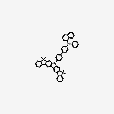 CC1(C)c2ccccc2-c2cc3c4cc5c(cc4n(-c4ccc(-c6ccc(N(c7ccccc7)c7cccc8ccccc78)cc6)cc4)c3cc21)C(C)(C)c1ccccc1-5